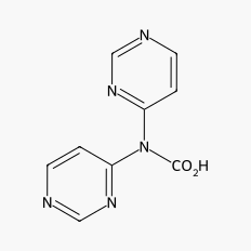 O=C(O)N(c1ccncn1)c1ccncn1